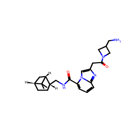 CC1(C)[C@@H]2CC[C@@H](CNC(=O)c3cccc4nc(CC(=O)N5CC(CN)C5)cn34)[C@H]1C2